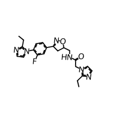 CCc1nccn1CC(=O)NCC1CC(c2ccc(-n3ccnc3CC)c(F)c2)=NO1